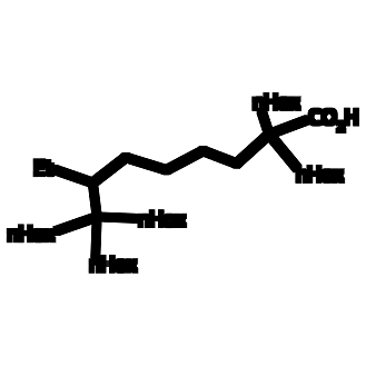 CCCCCCC(CCCCCC)(CCCCC(CC)C(CCCCCC)(CCCCCC)CCCCCC)C(=O)O